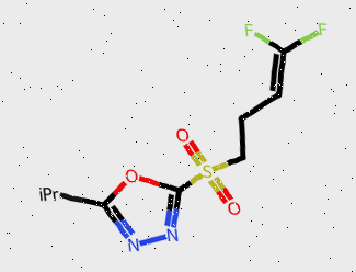 CC(C)c1nnc(S(=O)(=O)CCC=C(F)F)o1